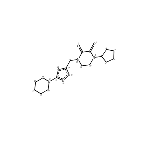 O=C1C(=O)N(C2CCCC2)CCN1Cc1nnc(N2CCCCC2)s1